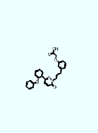 O=C(O)COc1cccc(CCCn2nc(-c3ccccc3Oc3ccccc3)ccc2=O)c1